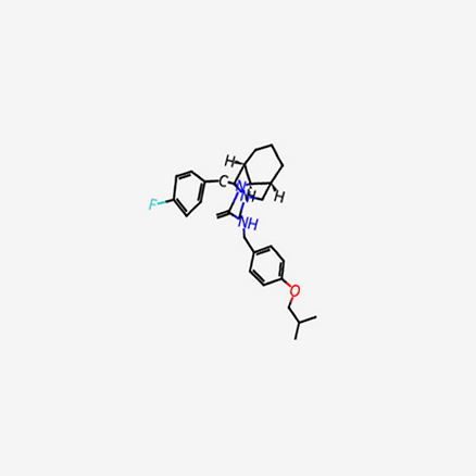 C=C(NCc1ccc(OCC(C)C)cc1)N(Cc1ccc(F)cc1)[C@@H]1[C@@H]2CCC[C@H]1CN(C)C2